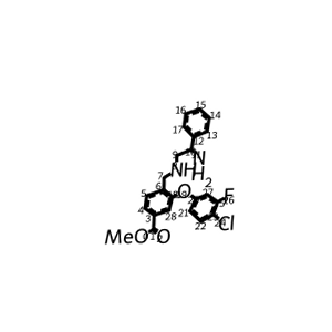 COC(=O)c1ccc(CNCC(N)c2ccccc2)c(Oc2ccc(Cl)c(F)c2)c1